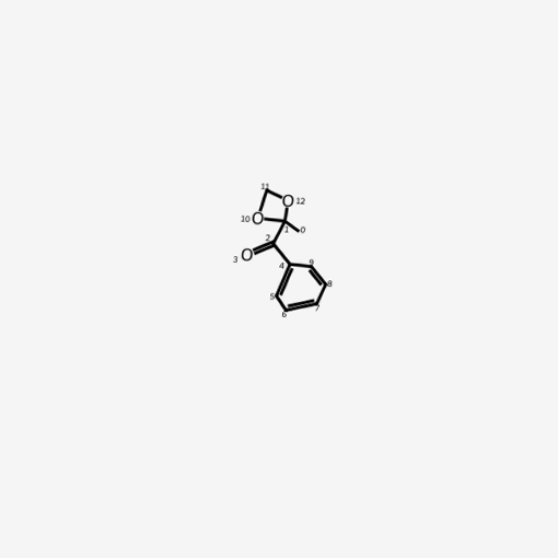 CC1(C(=O)c2ccccc2)OCO1